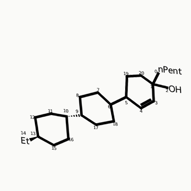 CCCCCC1(O)C=CC(C2CCC([C@H]3CC[C@H](CC)CC3)CC2)CC1